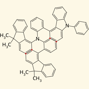 CC1(C)c2ccccc2-c2c(-c3ccccc3N(c3ccccc3-c3cccc4c3c3ccccc3n4-c3ccccc3)c3cccc4c3-c3ccccc3C4(C)C)cccc21